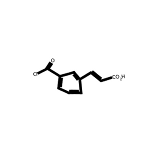 O=C(O)/C=C/c1cccc(C(=O)Cl)c1